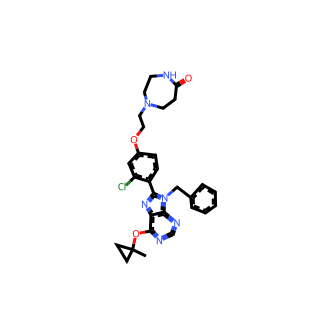 CC1(Oc2ncnc3c2nc(-c2ccc(OCCN4CCNC(=O)CC4)cc2Cl)n3Cc2ccccc2)CC1